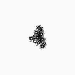 C[Si](c1ccccc1)(c1ccccc1)c1cc2c3c(c1)N(c1ccccc1)c1c(ccc4cc5oc6ccccc6c5cc14)B3c1ccc3cc4oc5ccccc5c4cc3c1N2c1ccccc1